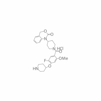 COc1cc(OC2CCNCC2)c(F)cc1C(=O)N1CCC(N2C(=O)OCc3ccccc32)CC1.Cl